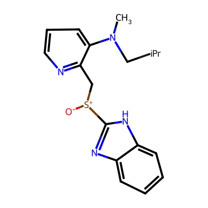 CC(C)CN(C)c1cccnc1C[S+]([O-])c1nc2ccccc2[nH]1